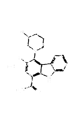 Cl.NC(=O)c1cc(F)c(N2CCCC(N)C2)c2c1[nH]c1ccccc12